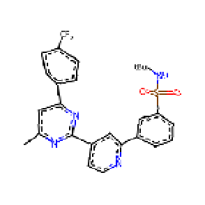 Cc1cc(-c2ccc(C(F)(F)F)cc2)nc(-c2ccnc(-c3cccc(S(=O)(=O)NC(C)(C)C)c3)c2)n1